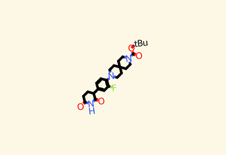 CC(C)(C)OC(=O)N1CCC2(CC1)CCN(c1ccc(C3CCC(=O)NC3=O)cc1F)CC2